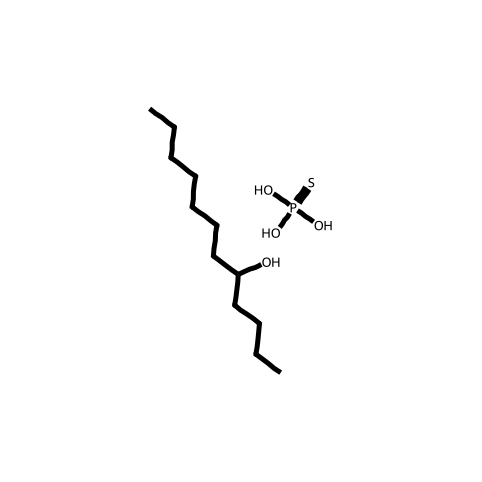 CCCCCCCC(O)CCCC.OP(O)(O)=S